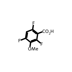 COc1c(F)cc(F)c(C(=O)O)c1F